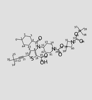 CC1CCC(C(=O)N(c2cc(C#CC(C)(C)C)sc2C(=O)O)C2CCN(C(=O)OC3(C)CN(C(=O)OC(C)(C)C)C3)CC2)CC1